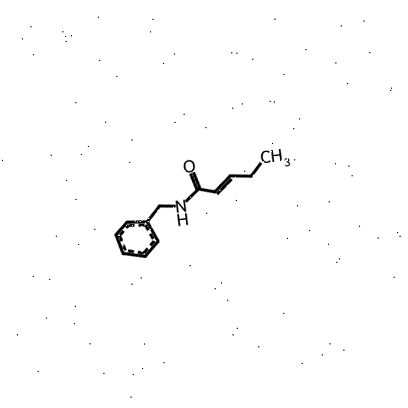 CCC=CC(=O)NCc1ccccc1